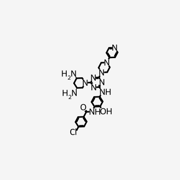 N[C@@H]1C[C@H](N)CN(c2nc(Nc3ccc(NC(=O)c4ccc(Cl)cc4)c(O)c3)nc(N3CCN(c4ccncc4)CC3)n2)C1